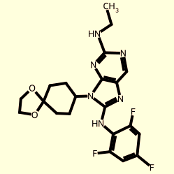 CCNc1ncc2nc(Nc3c(F)cc(F)cc3F)n(C3CCC4(CC3)OCCO4)c2n1